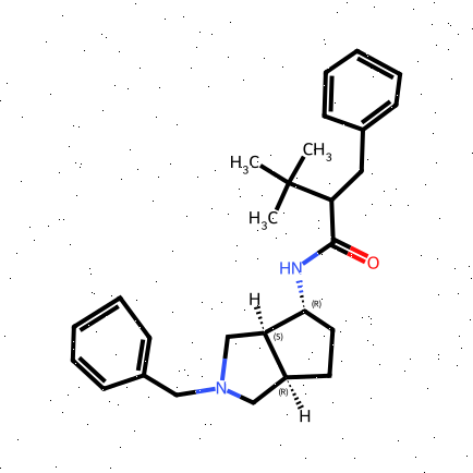 CC(C)(C)C(Cc1ccccc1)C(=O)N[C@@H]1CC[C@H]2CN(Cc3ccccc3)C[C@H]21